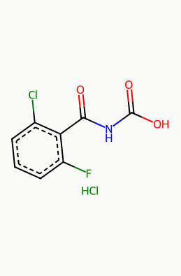 Cl.O=C(O)NC(=O)c1c(F)cccc1Cl